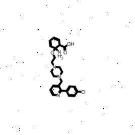 NC1(OCCN2CCN(Cc3cccnc3-c3ccc(Cl)cc3)CC2)C=CC=CC1C(=O)O